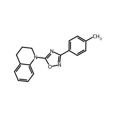 Cc1ccc(-c2noc(N3CCCc4ccccc43)n2)cc1